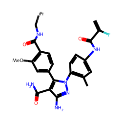 C=C(F)C(=O)Nc1ccc(-n2nc(N)c(C(N)=O)c2-c2ccc(C(=O)NCC(C)C)c(OC)c2)c(C)c1